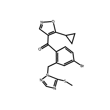 CSc1ncnn1Cc1cc(Br)ccc1C(=O)c1cnoc1C1CC1